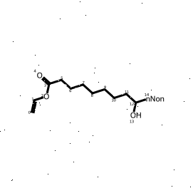 C=COC(=O)CCCCCCCC(O)CCCCCCCCC